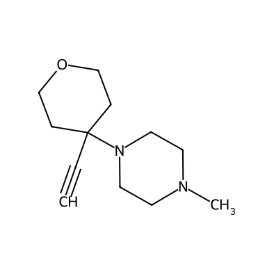 C#CC1(N2CCN(C)CC2)CCOCC1